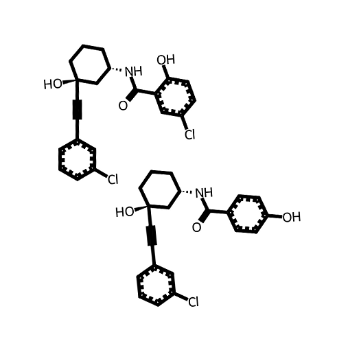 O=C(N[C@H]1CCC[C@@](O)(C#Cc2cccc(Cl)c2)C1)c1cc(Cl)ccc1O.O=C(N[C@H]1CCC[C@@](O)(C#Cc2cccc(Cl)c2)C1)c1ccc(O)cc1